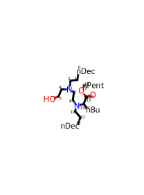 CCCCCCCCCCCCN(CCO)CCN(CCCCCCCCCCCC)C(CCCC)C(=O)OCCCCC